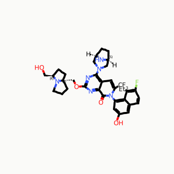 CCc1c(F)ccc2cc(O)cc(-n3c(C(F)(F)F)cc4c(N5C[C@H]6CC[C@@H](C5)N6)nc(OC[C@]56CCCN5[C@@H](CO)CC6)nc4c3=O)c12